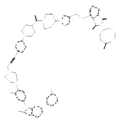 Cc1nc2ccc(-c3ccnc(N)c3)nc2n1-c1ccc(N2CCN(CC#Cc3ccc(N4CCC(C(=O)N5CCC(n6cc(CNc7cccc8c7C(=O)N([C@H]7CCC(=O)NCOC7)C8=O)cn6)CC5)CC4)nc3)CC2)c(F)c1